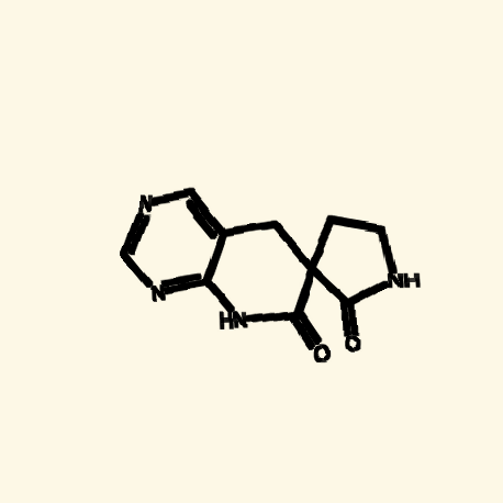 O=C1NCCC12Cc1cncnc1NC2=O